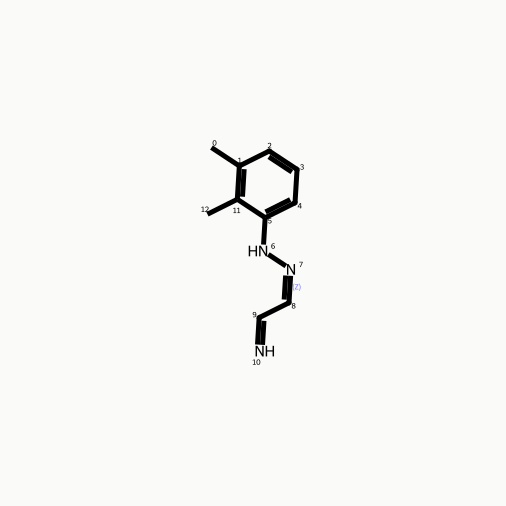 Cc1cccc(N/N=C\C=N)c1C